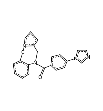 O=C(c1ccc(-n2ccnc2)cc1)N1Cc2cccn2Cc2ccccc21